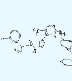 Cc1cnc(Nc2ccc(Oc3ccccc3)cc2)nc1-n1cnc(C(=O)NC(CN)c2cccc(Cl)c2)c1